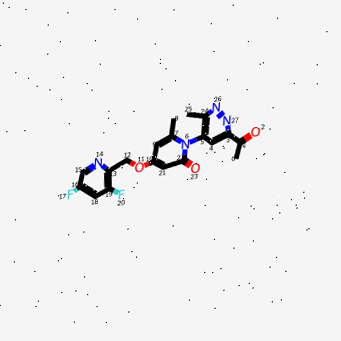 CC(=O)c1cc(-n2c(C)cc(OCc3ncc(F)cc3F)cc2=O)c(C)nn1